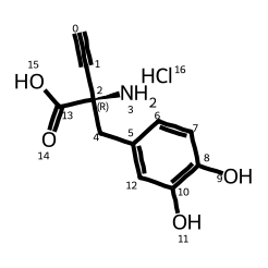 C#C[C@](N)(Cc1ccc(O)c(O)c1)C(=O)O.Cl